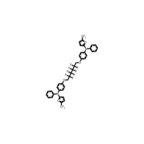 FC(F)(F)c1ccc(N(c2ccccc2)c2ccc(OCC(F)(F)C(F)(F)C(F)(F)C(F)(F)COc3ccc(N(c4ccccc4)c4ccc(C(F)(F)F)o4)cc3)cc2)o1